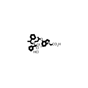 CC(CCN(CC(C)c1ccccc1)C(Cl)(c1ccccc1)C(F)(F)F)Oc1cccc2c1ccn2CC(=O)O.Cl